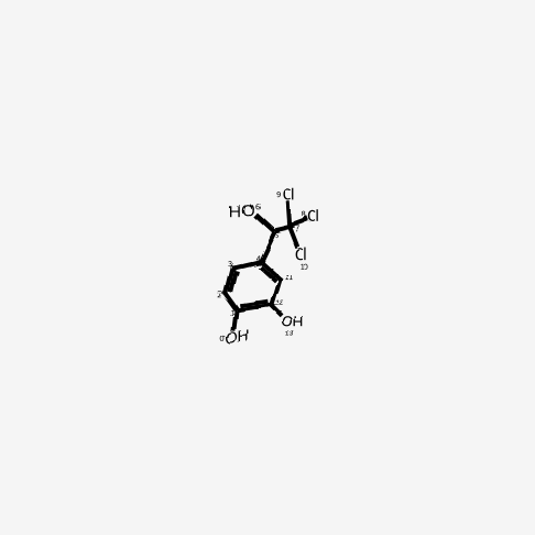 Oc1ccc(C(O)C(Cl)(Cl)Cl)cc1O